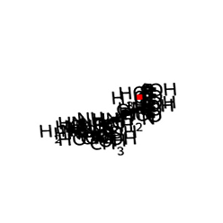 C[C@@H]1O[C@@H](O[C@@H]2C(O)[C@@H](O)C(NC(=N)N)C(O)[C@@H]2NC(=N)N)C(O[C@@H]2OC(CO)[C@H](O)[C@H](O)C2N(C)CCNC(=O)CCC(=O)NCCNC2C(O)=C(C(N)=O)C(=O)[C@@]3(O)C(O)=C4C(=O)c5c(O)cccc5[C@@](C)(O)[C@H]4C[C@@H]23)[C@]1(O)CO